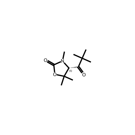 CN1C(=O)OC(C)(C)[C@H]1C(=O)C(C)(C)C